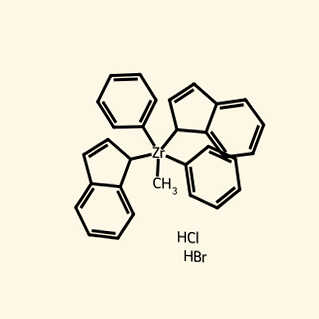 Br.Cl.[CH3][Zr]([c]1ccccc1)([c]1ccccc1)([CH]1C=Cc2ccccc21)[CH]1C=Cc2ccccc21